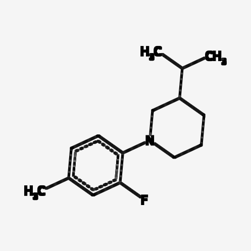 Cc1ccc(N2CCCC(C(C)C)C2)c(F)c1